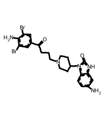 Nc1ccc2c(c1)[nH]c(=O)n2C1CCN(CCCC(=O)c2cc(Br)c(N)c(Br)c2)CC1